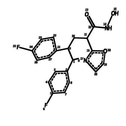 CC(c1ccc(F)cc1)C(CC(C(=O)NO)c1ncco1)c1ccc(F)cc1